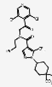 CC(C)CCN(CC(=O)c1c(Cl)cncc1Cl)C(=O)c1cnn(C2CCC(C)(C(=O)O)CC2)c1C(F)(F)F